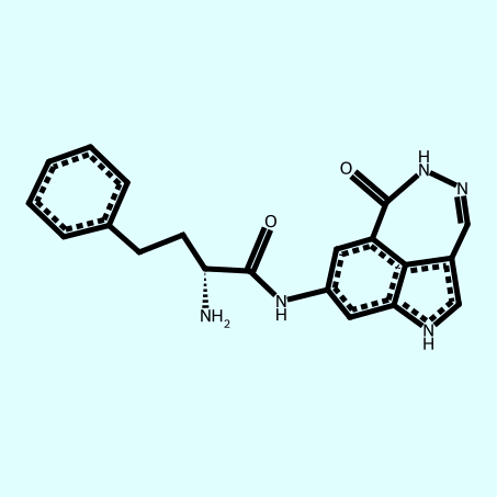 N[C@H](CCc1ccccc1)C(=O)Nc1cc2c3c(c[nH]c3c1)C=NNC2=O